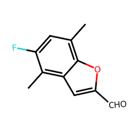 Cc1c(F)cc(C)c2oc(C=O)cc12